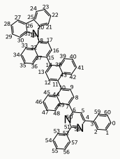 c1ccc(-c2cc(-c3ccc(-c4ccc(-c5ccc(-n6c7ccccc7c7ccccc76)c6ccccc56)c5ccccc45)c4ccccc34)nc(-c3ccccc3)n2)cc1